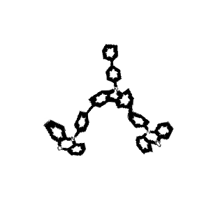 c1ccc(-c2ccc(-n3c4ccc(-c5ccc(N6c7ccccc7Oc7ccccc76)cc5)cc4c4cc(-c5ccc(N6c7ccccc7Oc7ccccc76)cc5)ccc43)cc2)cc1